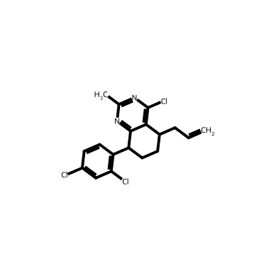 C=CCC1CCC(c2ccc(Cl)cc2Cl)c2nc(C)nc(Cl)c21